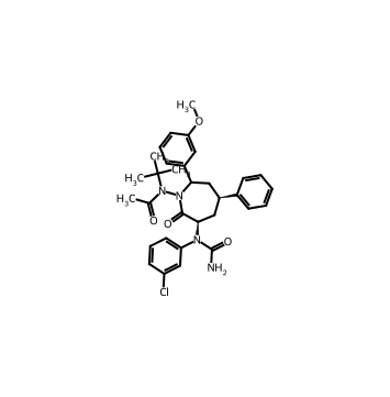 COc1cccc(C2C[C@@H](c3ccccc3)C[C@@H](N(C(N)=O)c3cccc(Cl)c3)C(=O)N2N(C(C)=O)C(C)(C)C)c1